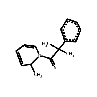 CC1C=CC=CN1C(=S)C(C)(C)c1ccccc1